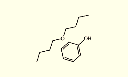 CCCCOCCCC.Oc1ccccc1